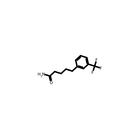 NC(=O)CCCCc1cccc(C(F)(F)F)c1